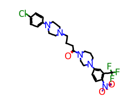 O=C(CCCN1CCN(c2ccc(Cl)cc2)CC1)N1CCCN(c2ccc([N+](=O)[O-])c(C(F)(F)F)c2)CC1